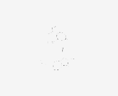 COC(=O)c1ccnc(C#Cc2c3cc(OC(F)(F)F)ccc3nn2C)c1N